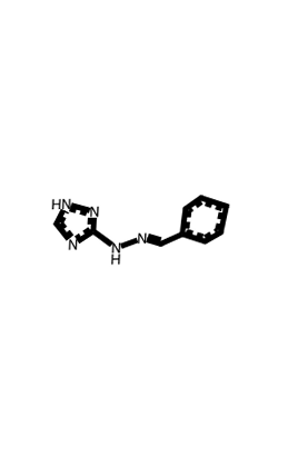 C(=NNc1nc[nH]n1)c1ccccc1